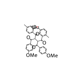 COc1ccc(C(=O)C(C(=O)c2ccc(C)cc2C)C(C(=O)c2ccc(OC)cc2)C(=O)c2cc(C(C)(C)C)ccc2C)cc1